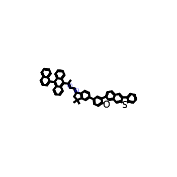 C/C(=C\C=C1/CC(C)(C)c2cc(-c3ccc4oc5c6cc7sc8ccccc8c7cc6ccc5c4c3)ccc21)c1c2ccccc2c(-c2cccc3ccccc23)c2ccccc12